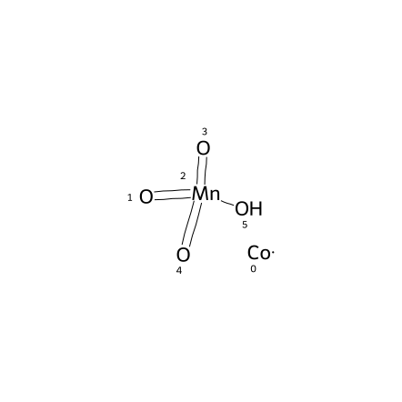 [Co].[O]=[Mn](=[O])(=[O])[OH]